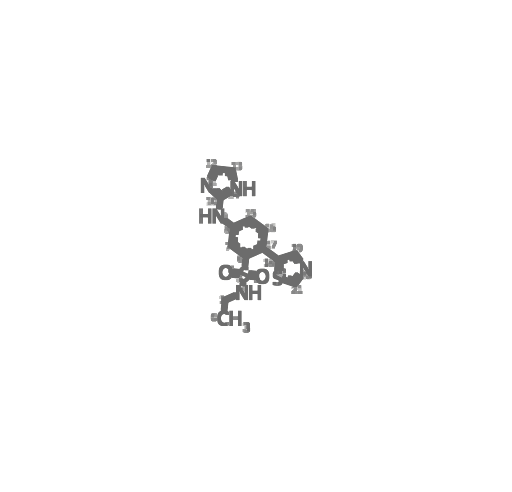 CCNS(=O)(=O)c1cc(Nc2ncc[nH]2)ccc1-c1cncs1